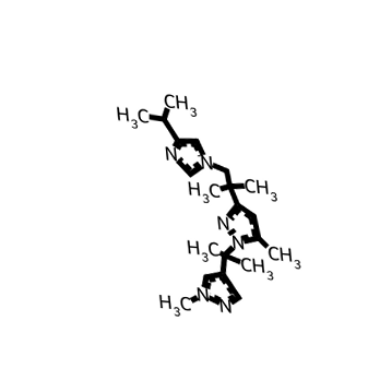 Cc1cc(C(C)(C)Cn2cnc(C(C)C)c2)nn1C(C)(C)c1cnn(C)c1